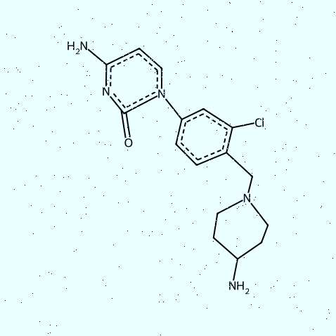 Nc1ccn(-c2ccc(CN3CCC(N)CC3)c(Cl)c2)c(=O)n1